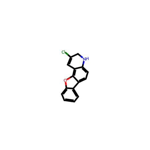 ClC1=Cc2c(ccc3c2oc2ccccc23)NC1